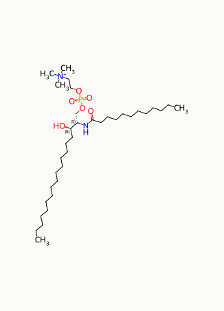 CCCCCCCCCCCCCCC[C@@H](O)[C@H](COP(=O)([O-])OCC[N+](C)(C)C)NC(=O)CCCCCCCCCCC